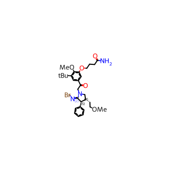 COCC[C@H]1CN(CC(=O)c2cc(OCCCC(N)=O)c(OC)c(C(C)(C)C)c2)/C(=N\Br)[C@@H]1c1ccccc1